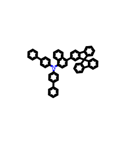 c1ccc(-c2ccc(N(c3ccc(-c4ccccc4)cc3)c3ccc(-c4ccc5c(c4)C4(c6ccccc6-c6ccccc64)c4ccccc4-5)c4ccccc34)cc2)cc1